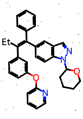 CC/C(=C(\c1[c]cccc1)c1ccc2c(cnn2C2CCCCO2)c1)c1cccc(Oc2ccccn2)c1